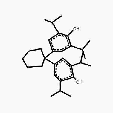 CC(C)c1cc(C2(c3cc(C(C)C)c(O)c(C(C)C)c3)CCCCC2)cc(C(C)C)c1O